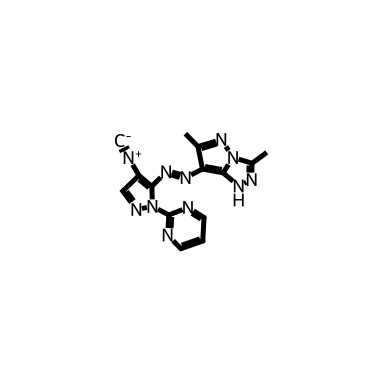 [C-]#[N+]c1cnn(-c2ncccn2)c1/N=N/c1c(C)nn2c(C)n[nH]c12